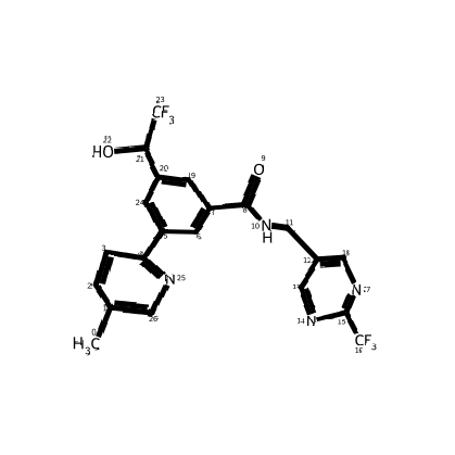 Cc1ccc(-c2cc(C(=O)NCc3cnc(C(F)(F)F)nc3)cc(C(O)C(F)(F)F)c2)nc1